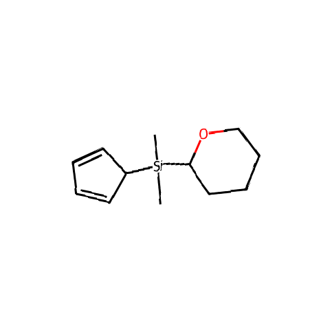 C[Si](C)(C1C=CC=C1)C1CCCCO1